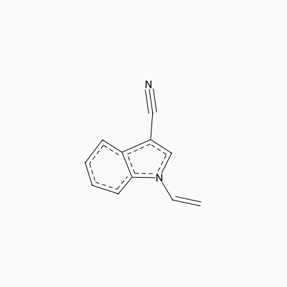 C=Cn1cc(C#N)c2ccccc21